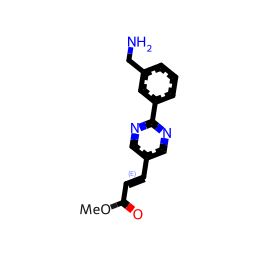 COC(=O)/C=C/c1cnc(-c2cccc(CN)c2)nc1